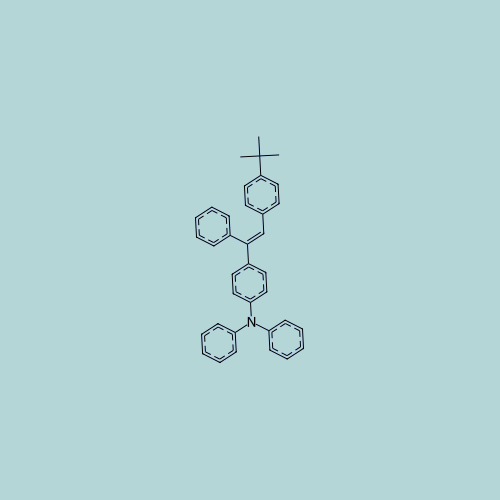 CC(C)(C)c1ccc(/C=C(\c2ccccc2)c2ccc(N(c3ccccc3)c3ccccc3)cc2)cc1